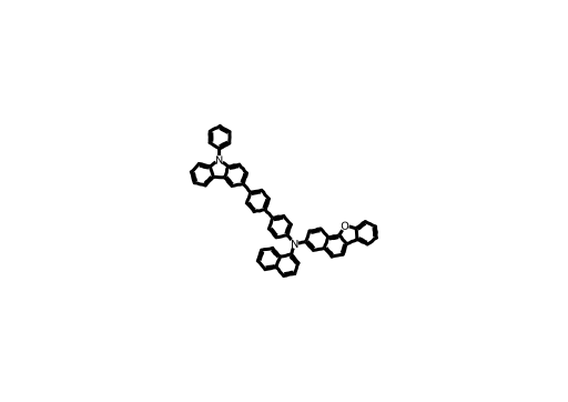 c1ccc(-n2c3ccccc3c3cc(-c4ccc(-c5ccc(N(c6ccc7c(ccc8c9ccccc9oc78)c6)c6cccc7ccccc67)cc5)cc4)ccc32)cc1